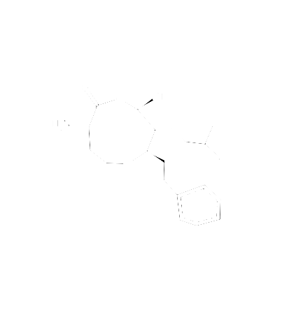 CC(C)CC[C@H]1[C@H](C)OC(=O)[C@@H](N)CCO[C@@H]1CCc1ccccc1